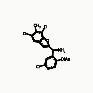 COc1ccc(Cl)cc1C(N)c1cc2cc(Cl)c(C)c(Cl)c2o1